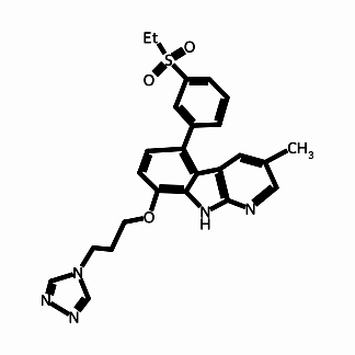 CCS(=O)(=O)c1cccc(-c2ccc(OCCCn3cnnc3)c3[nH]c4ncc(C)cc4c23)c1